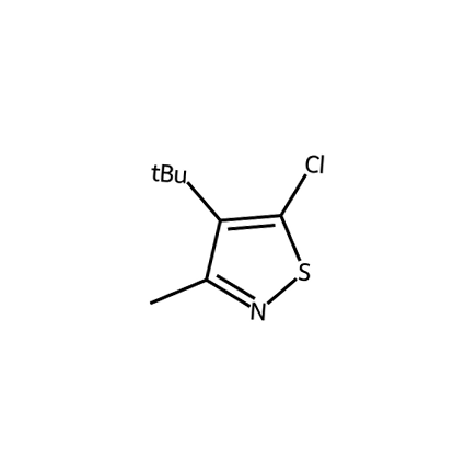 Cc1nsc(Cl)c1C(C)(C)C